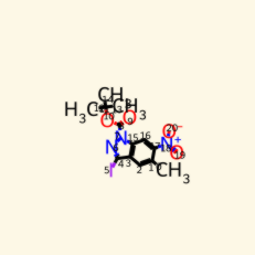 Cc1cc2c(I)nn(C(=O)OC(C)(C)C)c2cc1[N+](=O)[O-]